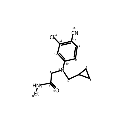 CCNC(=O)CN(CC1CC1)c1ccc(C#N)c(Cl)c1